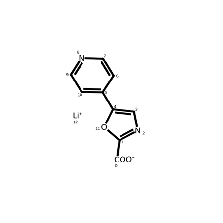 O=C([O-])c1ncc(-c2ccncc2)o1.[Li+]